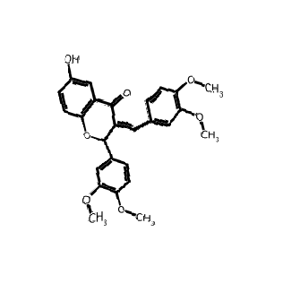 COc1ccc(C=C2C(=O)c3cc(O)ccc3OC2c2ccc(OC)c(OC)c2)cc1OC